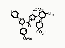 COC[C@H]1CN(C(=O)[C@@H]2CN(c3ccncc3)C[C@H]2C2C=CC(OC)=CC2)C[C@@H]1C1CC=C(C(F)(F)F)C=C1N1CCC(C(=O)O)CC1